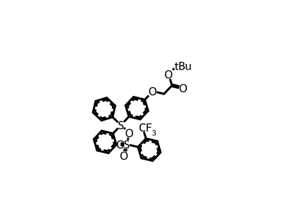 CC(C)(C)OC(=O)COc1ccc(S(OS(=O)(=O)c2ccccc2C(F)(F)F)(c2ccccc2)c2ccccc2)cc1